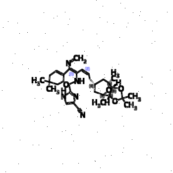 C=N/C(C1=CCC(C)(C)CC1)=C(\C=C/C[C@H]1C[C@@]2(C)O[C@@](C)(C1)[C@@H]1OC(C)(C)O[C@@H]12)NC(=O)c1nc(C#N)c[nH]1